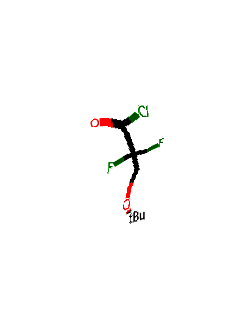 CC(C)(C)OCC(F)(F)C(=O)Cl